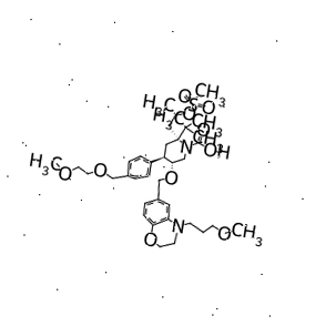 COCCCN1CCOc2ccc(CO[C@H]3CN(C(=O)O)[C@](C[C@H](C)OS(C)(=O)=O)(C(C)(C)C)C[C@@H]3c3ccc(COCCOC)cc3)cc21